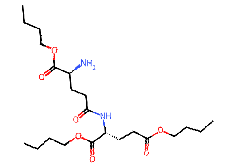 CCCCOC(=O)CC[C@@H](NC(=O)CC[C@H](N)C(=O)OCCCC)C(=O)OCCCC